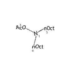 CCCCCCCCN(CCCCCCCC)OC(C)=O